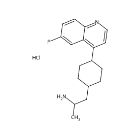 CC(N)CC1CCC(c2ccnc3ccc(F)cc23)CC1.Cl